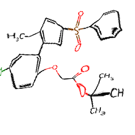 Cc1ccc(S(=O)(=O)c2ccccc2)cc1-c1cc(Cl)ccc1OCC(=O)OC(C)(C)C